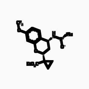 CCOC(=O)C1([C@H]2C[C@@H](N[S@+]([O-])C(C)(C)C)c3ccc(OC(F)(F)F)cc3O2)CC1